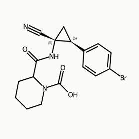 N#C[C@@]1(NC(=O)C2CCCCN2C(=O)O)C[C@H]1c1ccc(Br)cc1